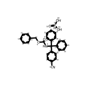 N#Cc1ccc(C(NC(=O)OCc2ccccc2)(c2ccccc2)c2ccccc2)cc1.O=[PH](O)O